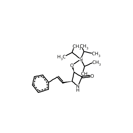 CC(C)[Si](O[C@H]1C(=O)N[C@H]1/C=C/c1ccccc1)(C(C)C)C(C)C